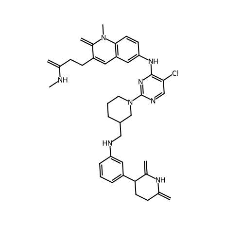 C=C(CCC1=Cc2cc(Nc3nc(N4CCCC(CNc5cccc(C6CCC(=C)NC6=C)c5)C4)ncc3Cl)ccc2N(C)C1=C)NC